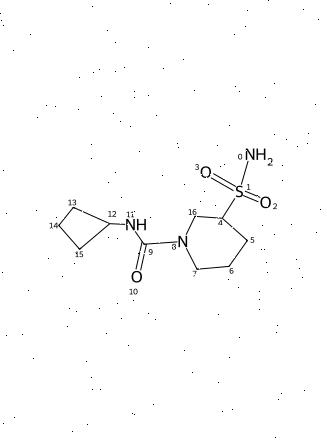 NS(=O)(=O)C1CCCN(C(=O)NC2CCC2)C1